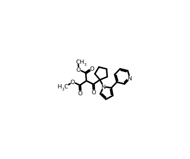 COC(=O)C(C(=O)OC)C(=O)C1(n2cccc2-c2cccnc2)CCCC1